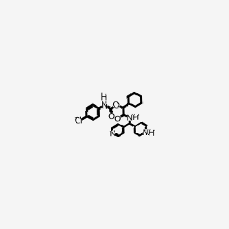 O=C(Nc1ccc(Cl)cc1)OC(C(=O)NC(c1ccncc1)C1CCNCC1)C1CCCCC1